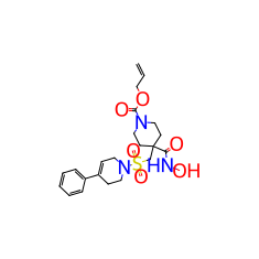 C=CCOC(=O)N1CCC(CS(=O)(=O)N2CC=C(c3ccccc3)CC2)(C(=O)NO)CC1